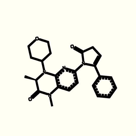 C[C@@H]1C(=O)N(C)c2ccc(N3C(=O)CC=C3c3ccccc3)nc2N1C1CCOCC1